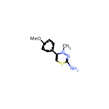 COc1ccc(C2=CSC(N)=NN2C)cc1